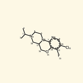 CC(C)N1CCN2c3ncc(Cl)c(F)c3OCC2C1